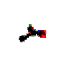 NC(CO)(CO)CCc1ccc(OCCCCCc2ccccc2)c(-c2ccc(F)o2)c1